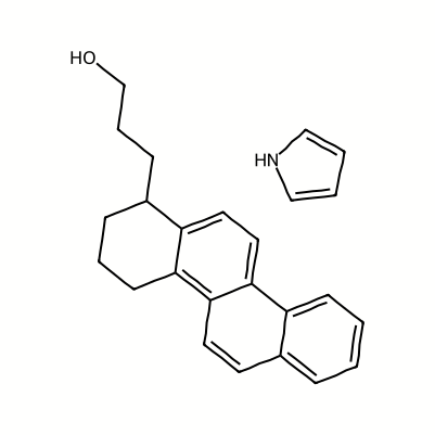 OCCCC1CCCc2c1ccc1c2ccc2ccccc21.c1cc[nH]c1